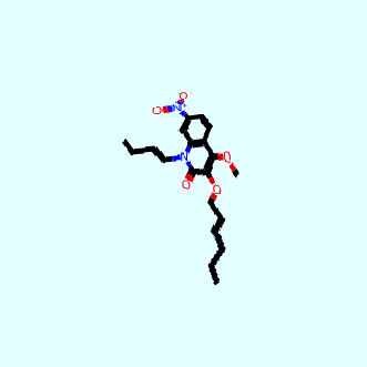 CCCCCCOc1c(OC)c2ccc([N+](=O)[O-])cc2n(CCCC)c1=O